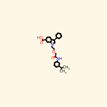 CC(C)c1cccc(NC(=O)COCCn2cc(-c3ccccc3)c3ccc(C(=O)O)cc32)c1